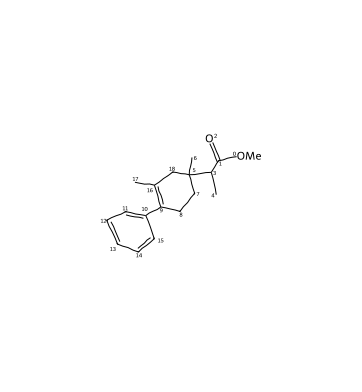 COC(=O)C(C)C1(C)CCC(c2ccccc2)=C(C)C1